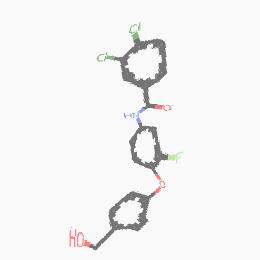 O=C(Nc1ccc(Oc2ccc(CO)cc2)c(F)c1)c1ccc(Cl)c(Cl)c1